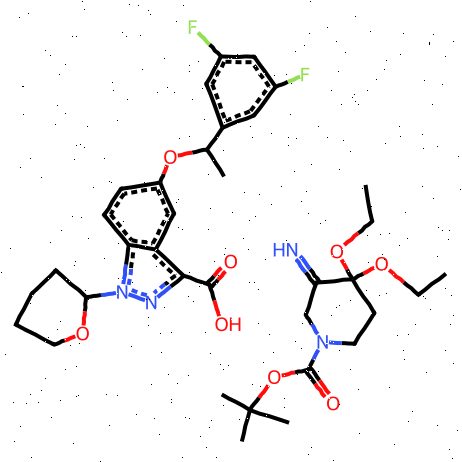 CC(Oc1ccc2c(c1)c(C(=O)O)nn2C1CCCCO1)c1cc(F)cc(F)c1.CCOC1(OCC)CCN(C(=O)OC(C)(C)C)CC1=N